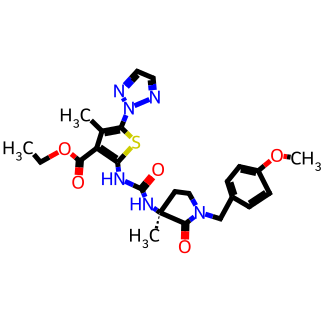 CCOC(=O)c1c(NC(=O)N[C@@]2(C)CCN(Cc3ccc(OC)cc3)C2=O)sc(-n2nccn2)c1C